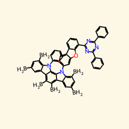 Bc1cc(B)c2c(c1)c1c(B)c(B)c3c4cc(B)cc(B)c4n(-c4ccc5c(c4)oc4c(-c6nc(-c7ccccc7)nc(-c7ccccc7)n6)cccc45)c3c1n2-c1ccccc1